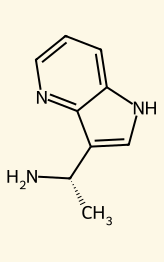 C[C@H](N)c1c[nH]c2cccnc12